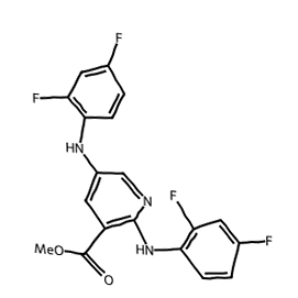 COC(=O)c1cc(Nc2ccc(F)cc2F)cnc1Nc1ccc(F)cc1F